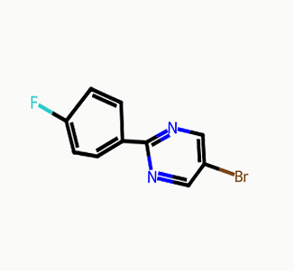 Fc1ccc(-c2ncc(Br)cn2)cc1